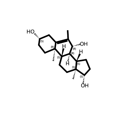 CC1=C2C[C@@H](O)CC[C@]2(C)[C@H]2CC[C@]3(C)[C@@H](O)CC[C@H]3[C@@H]2[C@H]1O